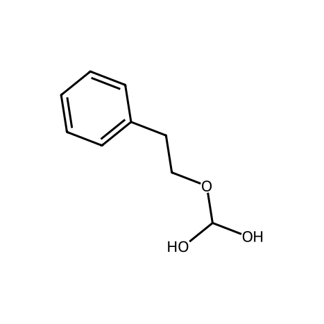 OC(O)OCCc1ccccc1